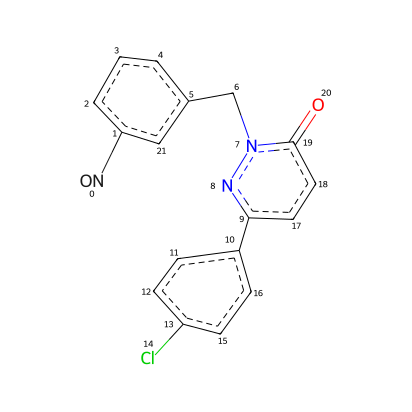 O=Nc1cccc(Cn2nc(-c3ccc(Cl)cc3)ccc2=O)c1